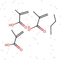 C=C(C)C(=O)O.C=C(C)C(=O)O.C=C(C)C(=O)O.CCCC